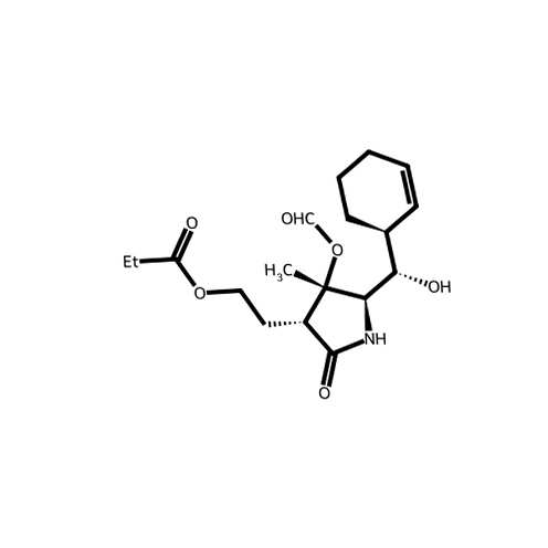 CCC(=O)OCC[C@H]1C(=O)N[C@H]([C@@H](O)[C@@H]2C=CCCC2)[C@@]1(C)OC=O